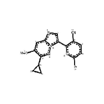 COc1cc2ncc(-c3nc(Br)ccc3C#N)n2nc1C1CC1